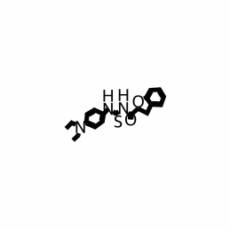 CCN(CC)c1ccc(NC(=S)NC(=O)C2Cc3ccccc3O2)cc1